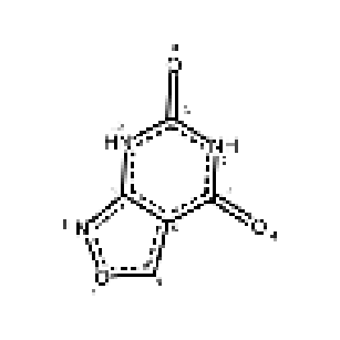 O=c1[nH]c(=O)c2conc2[nH]1